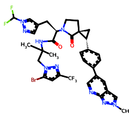 Cn1cc2cc(-c3ccc([C@H]4C[C@@]45CCN([C@H](Cc4cnn(C(F)F)c4)C(=O)NC(C)(C)Cn4nc(C(F)(F)F)cc4Br)C5=O)cc3)cnc2n1